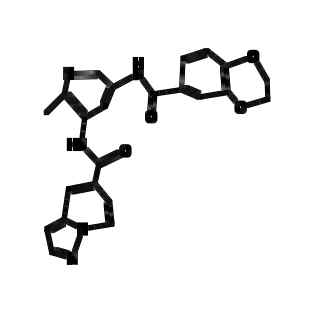 Cc1ncc(NC(=O)c2ccc3c(c2)OCCO3)cc1NC(=O)c1ccn2nccc2c1